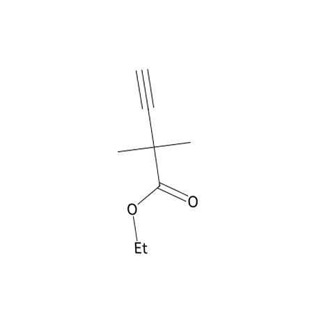 C#CC(C)(C)C(=O)OCC